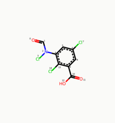 O=CN(Cl)c1cc(Cl)cc(C(=O)O)c1Cl